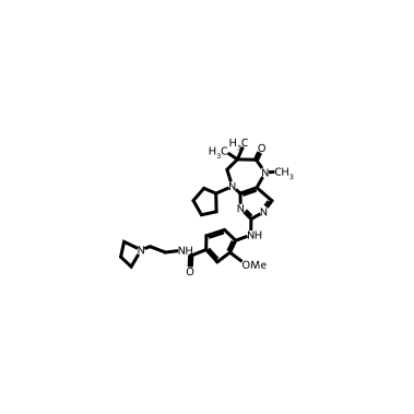 COc1cc(C(=O)NCCN2CCC2)ccc1Nc1ncc2c(n1)N(C1CCCC1)CC(C)(C)C(=O)N2C